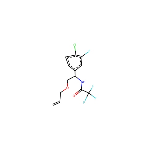 C=CCOCC(NC(=O)C(F)(F)F)c1ccc(Cl)c(F)c1